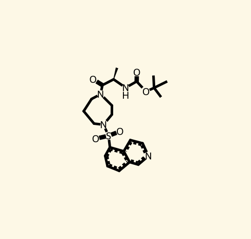 C[C@@H](NC(=O)OC(C)(C)C)C(=O)N1CCCN(S(=O)(=O)c2cccc3cnccc23)CC1